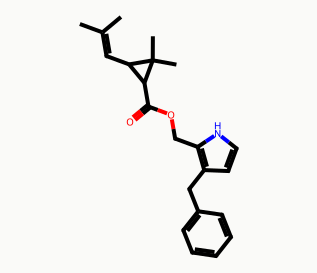 CC(C)=CC1C(C(=O)OCc2[nH]ccc2Cc2ccccc2)C1(C)C